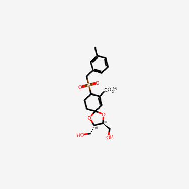 Cc1cccc(CS(=O)(=O)C2CCC3(C=C2C(=O)O)O[C@@H](CO)[C@H](CO)O3)c1